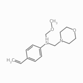 C=Cc1ccc([SiH](COC)CN2CCOCC2)cc1